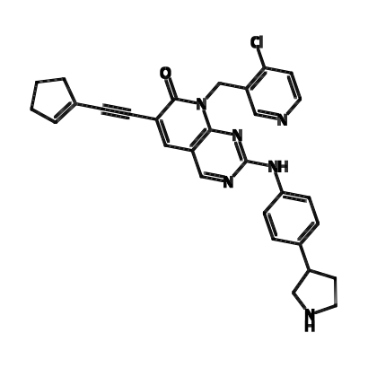 O=c1c(C#CC2=CCCC2)cc2cnc(Nc3ccc(C4CCNC4)cc3)nc2n1Cc1cnccc1Cl